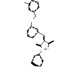 Cc1cccc(COc2cccc(/C=C3/C(=O)NN(c4cc#ccc4)C3=O)c2)c1